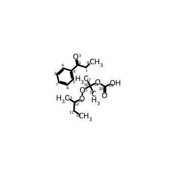 CCC(=O)c1ccccc1.CCC(C)OOC(C)(C)OC(=O)O